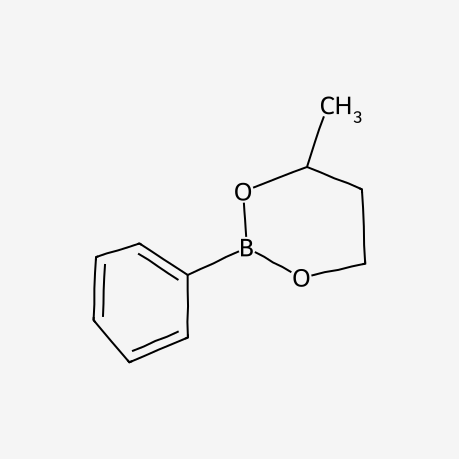 CC1CCOB(c2ccccc2)O1